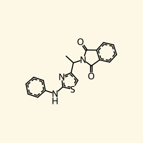 CC(c1csc(Nc2ccccc2)n1)N1C(=O)c2ccccc2C1=O